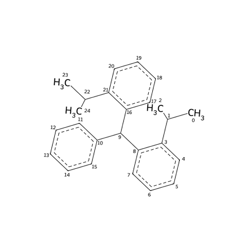 CC(C)c1ccccc1C(c1ccccc1)c1ccccc1C(C)C